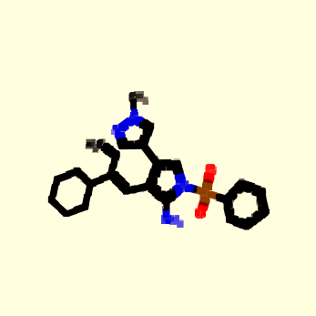 C=C/C(=C\c1c(-c2cnn(C)c2)cn(S(=O)(=O)c2ccccc2)c1N)C1CCCCC1